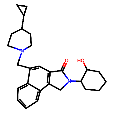 O=C1c2cc(CN3CCC(C4CC4)CC3)c3ccccc3c2CN1C1CCCCC1O